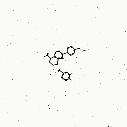 CNCc1ccc(-c2ccc3c(c2)[C@H](NC(=O)c2ccc(O)c(O)c2)CCC3C(C)=O)cc1